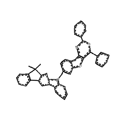 CC1(C)c2ccccc2-c2cc3c4ccccc4n(-c4ccc5c(c4)oc4c(-c6ccccc6)nc(-c6ccccc6)nc45)c3cc21